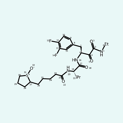 CCNC(=O)C(=O)[C@H](Cc1ccc(F)c(F)c1)NC(=O)[C@@H](NC(=O)CCCCC1CCC[S+]1[O-])C(C)C